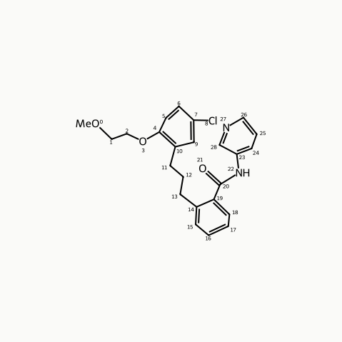 COCCOc1ccc(Cl)cc1CCCc1ccccc1C(=O)Nc1cccnc1